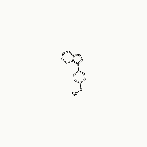 FC(F)(F)Oc1ccc(-n2ccc3c[c]ccc32)cc1